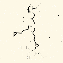 BB(B)B(B)B(B(B)B)B1CC1CCCCN(CCCCC1CC1)CC(O)Cn1ccnc1[N+](=O)[O-]